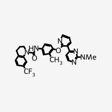 CNc1nccc(-c2cccnc2Oc2ccc(NC(=O)N3CCCc4ccc(C(F)(F)F)cc43)cc2C)n1